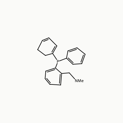 CNCc1ccccc1P(C1=CC=CCC1)c1ccccc1